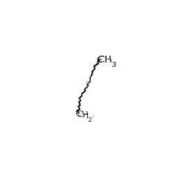 [CH2]CCCCCCCCCCCC/C=C/CCCCCCCC